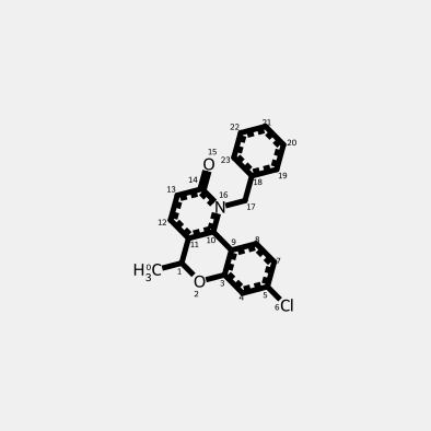 CC1Oc2cc(Cl)ccc2-c2c1ccc(=O)n2Cc1ccccc1